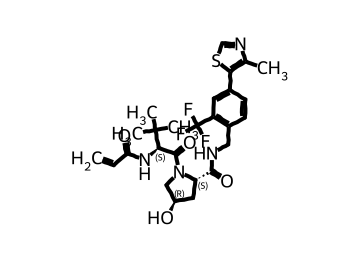 C=CC(=O)N[C@H](C(=O)N1C[C@H](O)C[C@H]1C(=O)NCc1ccc(-c2scnc2C)cc1C(F)(F)F)C(C)(C)C